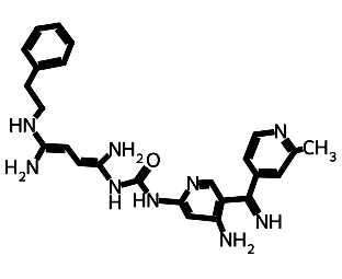 Cc1cc(C(=N)c2cnc(NC(=O)N/C(N)=C/C=C(\N)NCCc3ccccc3)cc2N)ccn1